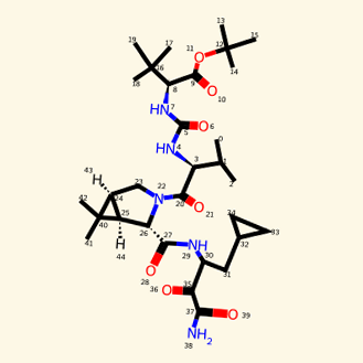 CC(C)[C@H](NC(=O)N[C@H](C(=O)OC(C)(C)C)C(C)(C)C)C(=O)N1C[C@H]2[C@@H]([C@H]1C(=O)NC(CC1CC1)C(=O)C(N)=O)C2(C)C